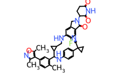 Cc1ccc(-c2c(C)noc2C)cc1C(Nc1ccc(C2(C#N)CC2)cc1)C1CC1CNc1cc2c(cc1F)C(=O)N(C1CCC(=O)NC1=O)C2